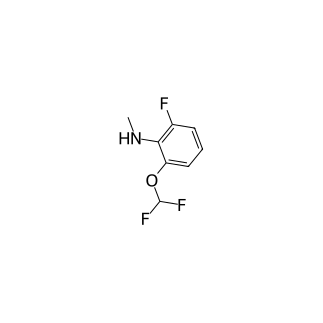 CNc1c(F)cccc1OC(F)F